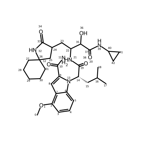 COc1cccc2c1cc(C(N)=O)n2[C@@H](CC(C)C)C(=O)NC(CC1CC2(CCCCC2)NC1=O)C(O)C(=O)NC1CC1